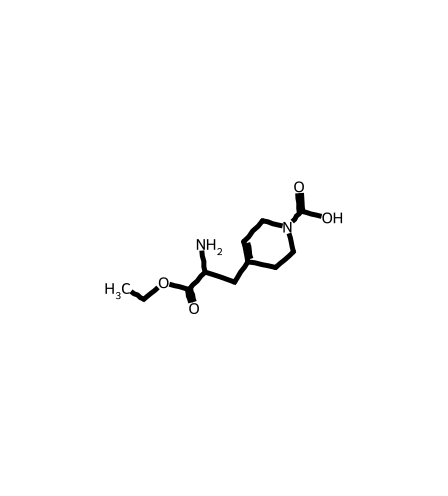 CCOC(=O)C(N)CC1=CCN(C(=O)O)CC1